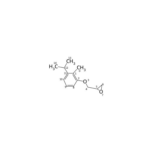 Cc1c(OCC2CO2)cccc1C(C)C